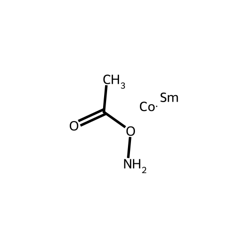 CC(=O)ON.[Co].[Sm]